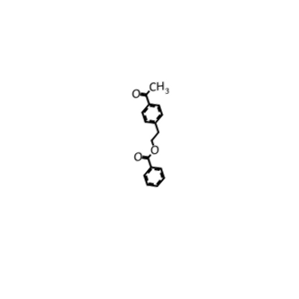 CC(=O)c1ccc(CCOC(=O)c2ccccc2)cc1